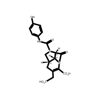 O=C(O)CC1=C(C(=O)O)N2C(=O)[C@@H]3[C@H]2[C@H](C1)CN3C(=O)Nc1ccc(O)cc1